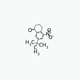 CC(C)(C)c1cc2c(c([N+](=O)[O-])c1)CCCC2=O